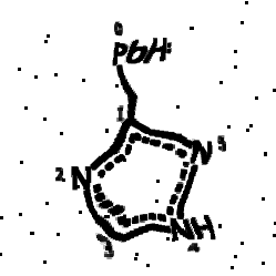 [PbH][c]1nc[nH]n1